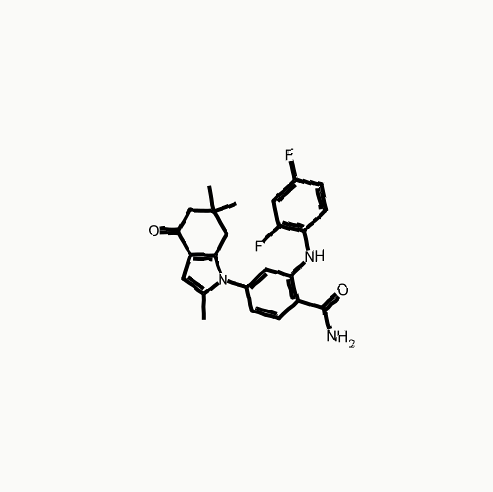 Cc1cc2c(n1-c1ccc(C(N)=O)c(Nc3ccc(F)cc3F)c1)CC(C)(C)CC2=O